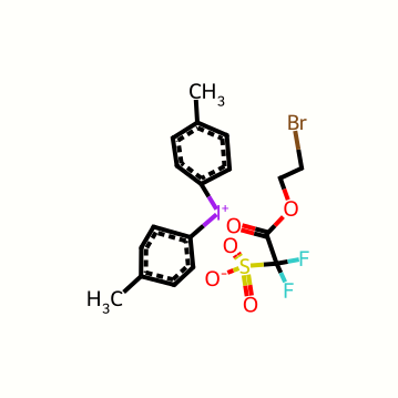 Cc1ccc([I+]c2ccc(C)cc2)cc1.O=C(OCCBr)C(F)(F)S(=O)(=O)[O-]